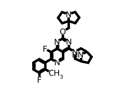 Cc1c(F)cccc1-c1ncc2c(N3CC4CCC(C3)N4)nc(OCC34CCCN3CCC4)nc2c1F